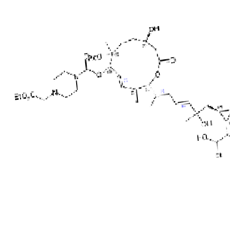 CCOC(=O)CN1CCN(C(=O)O[C@H]2/C=C/[C@H](C)[C@@H](/C(C)=C/C=C/C(C)(O)C[C@H]3O[C@@H]3C(C)C(O)CC)OC(=O)C[C@H](O)CC[C@@]2(C)OC(C)=O)CC1